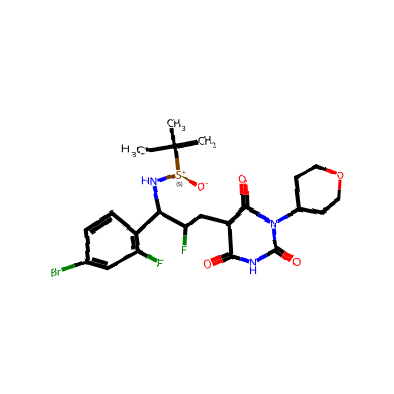 CC(C)(C)[S@@+]([O-])NC(c1ccc(Br)cc1F)C(F)CC1C(=O)NC(=O)N(C2CCOCC2)C1=O